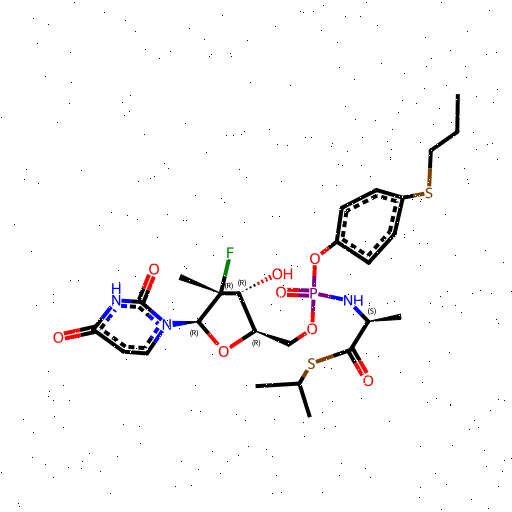 CCCSc1ccc(OP(=O)(N[C@@H](C)C(=O)SC(C)C)OC[C@H]2O[C@@H](n3ccc(=O)[nH]c3=O)[C@](C)(F)[C@@H]2O)cc1